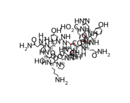 C[C@@H](O)[C@H](NC(=O)[C@@H]1CCCN1C(=O)[C@H](CCCCN)NC(=O)[C@H](CO)NC(=O)[C@H](Cc1ccc(O)cc1)NC(=O)[C@@H](N)CC(N)=O)C(=O)N[C@@H](CC(=O)O)C(=O)N[C@@H](CCCNC(=N)N)C(=O)N[C@@H](CCC(N)=O)C(=O)N[C@@H](Cc1ccc(O)cc1)C(=O)N[C@@H](Cc1c[nH]cn1)C(=O)N[C@@H](Cc1ccccc1)C(=O)O